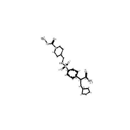 CC(C)(C)OC(=O)N1CCC(CNS(=O)(=O)c2ccc(C(CC3CCCC3)C(N)=O)cc2)CC1